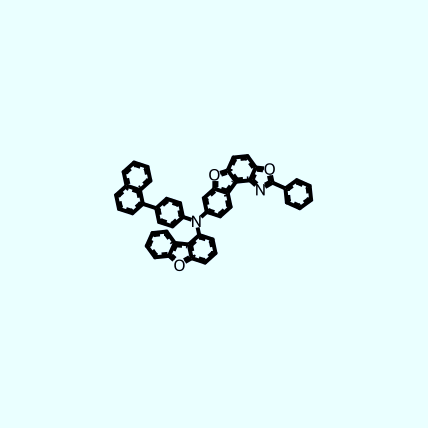 c1ccc(-c2nc3c(ccc4oc5cc(N(c6ccc(-c7cccc8ccccc78)cc6)c6cccc7oc8ccccc8c67)ccc5c43)o2)cc1